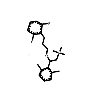 Cc1cccc(C)c1C(C[N+](C)(C)C)OCCCc1c(F)cccc1F.[I-]